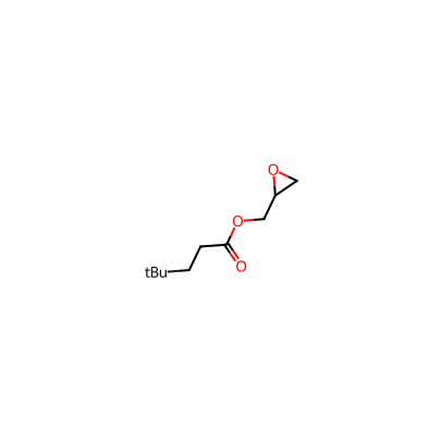 CC(C)(C)CCC(=O)OCC1CO1